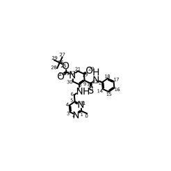 Cc1nccc(CNC2=C(C(=S)Nc3ccccc3)C(=O)CN(C(=O)OC(C)(C)C)C2)n1